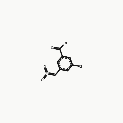 O=C(O)c1cc(Cl)cc(C=S(=O)=O)c1